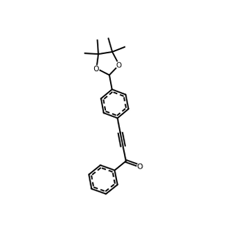 CC1(C)OC(c2ccc(C#CC(=O)c3ccccc3)cc2)OC1(C)C